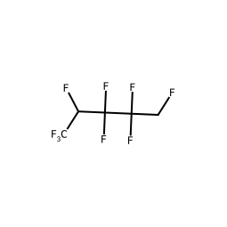 FCC(F)(F)C(F)(F)C(F)C(F)(F)F